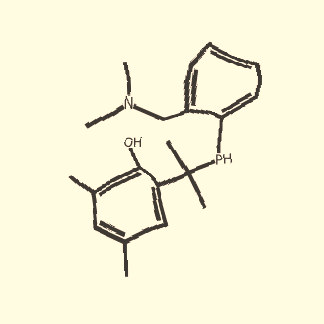 Cc1cc(C)c(O)c(C(C)(C)Pc2ccccc2CN(C)C)c1